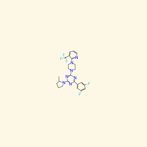 CC1CCCN1c1nc(-c2cc(F)cc(F)c2)nc(N2CCN(c3ncccc3C(F)(F)F)CC2)n1